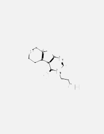 O=c1c2c3c(sc2ncn1CCO)CSCC3